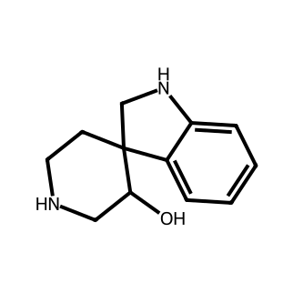 OC1CNCCC12CNc1ccccc12